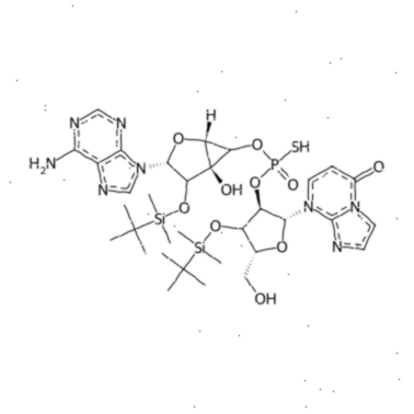 CC(C)(C)[Si](C)(C)OC1[C@@H](OP(=O)(S)OC2[C@H]3O[C@@H](n4cnc5c(N)ncnc54)C(O[Si](C)(C)C(C)(C)C)[C@@]23O)[C@H](n2ccc(=O)n3ccnc23)O[C@@H]1CO